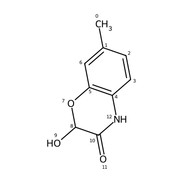 Cc1ccc2c(c1)OC(O)C(=O)N2